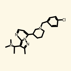 Cc1nn2c(C3CCCN(Cc4ccc(Cl)cc4)C3)ccnc2c1C(C)N(C)C